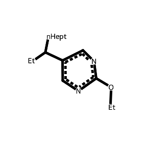 CCCCCCCC(CC)c1cnc(OCC)nc1